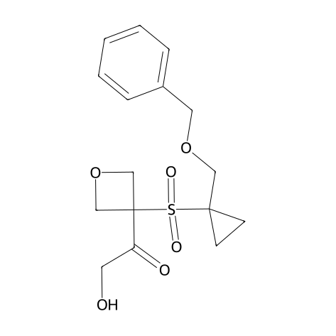 O=C(CO)C1(S(=O)(=O)C2(COCc3ccccc3)CC2)COC1